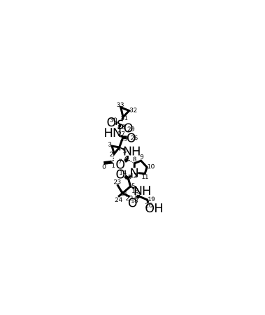 C=C[C@@H]1C[C@]1(NC(=O)[C@@H]1CCCN1C(=O)[C@@H](NC(=O)CO)C(C)(C)C)C(=O)NS(=O)(=O)C1CC1